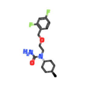 C[C@H]1CC[C@H](N(CCOCc2ccc(F)cc2F)C(N)=O)CC1